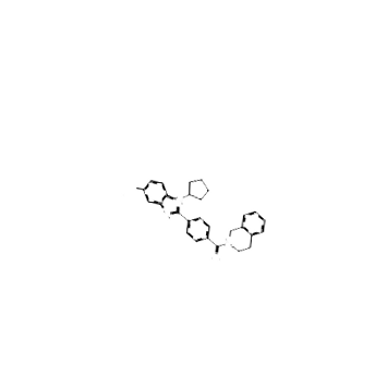 O=C(O)c1ccc2c(c1)nc(-c1ccc(C(=O)N3CCc4ccccc4C3)cc1)n2C1CCCC1